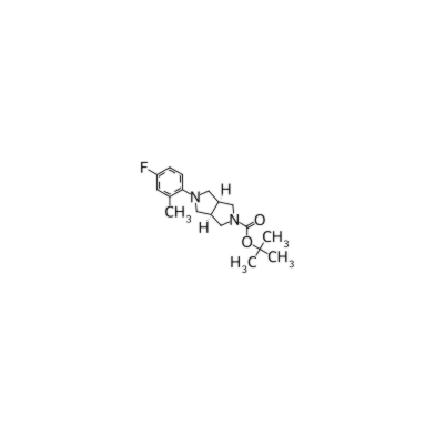 Cc1cc(F)ccc1N1C[C@H]2CN(C(=O)OC(C)(C)C)C[C@H]2C1